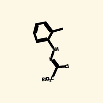 CCOC(=O)C(Cl)=NNc1ccccc1C